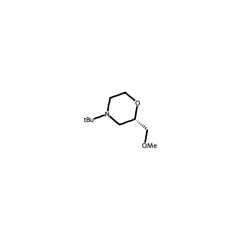 COC[C@@H]1CN(C(C)(C)C)CCO1